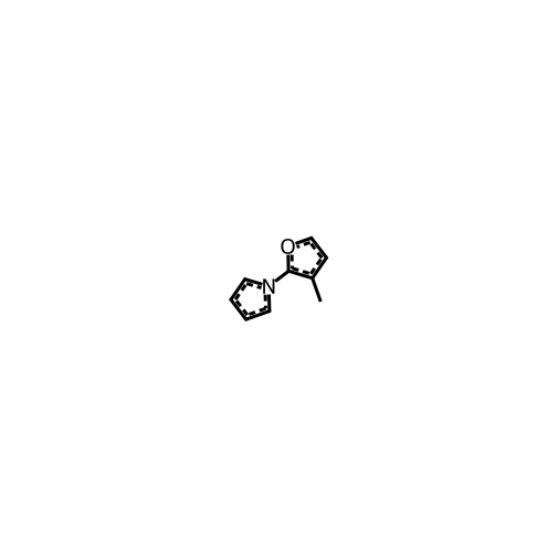 Cc1ccoc1-n1cccc1